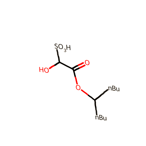 CCCCC(CCCC)OC(=O)C(O)S(=O)(=O)O